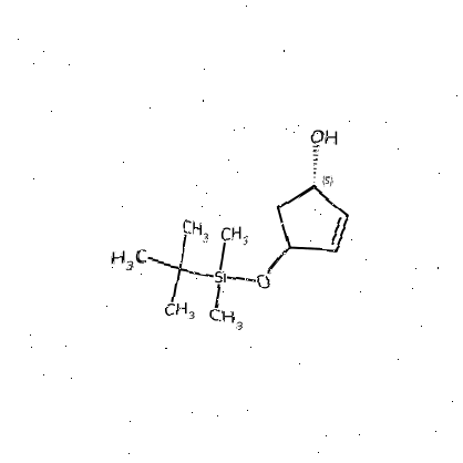 CC(C)(C)[Si](C)(C)OC1C=C[C@@H](O)C1